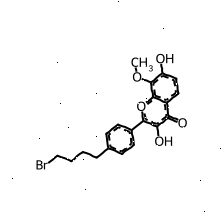 COc1c(O)ccc2c(=O)c(O)c(-c3ccc(CCCCBr)cc3)oc12